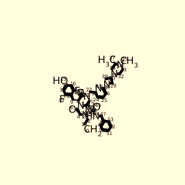 C=CCN1CC(=O)N2[C@@H](Cc3c(F)cc(O)cc3F)C(=O)N(Cc3cccc(N4CC(N5CCN(C)[C@@H](C)C5)C4)n3)C[C@@H]2N1C(=O)NCc1ccccc1